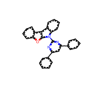 c1ccc(-c2cc(-c3ccccc3)nc(-n3c4ccccc4c4c5ccccc5oc43)n2)cc1